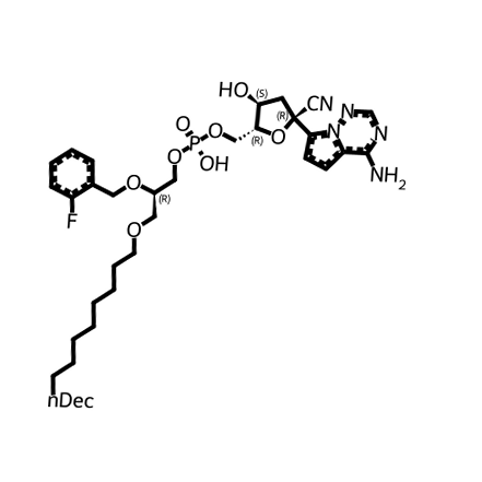 CCCCCCCCCCCCCCCCCCOC[C@H](COP(=O)(O)OC[C@H]1O[C@@](C#N)(c2ccc3c(N)ncnn23)C[C@@H]1O)OCc1ccccc1F